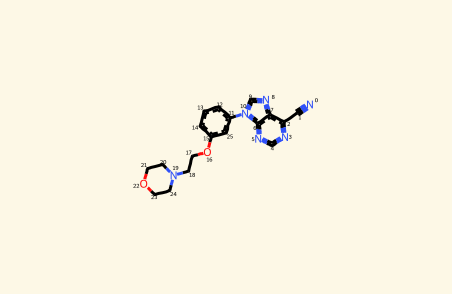 N#Cc1ncnc2c1ncn2-c1cccc(OCCN2CCOCC2)c1